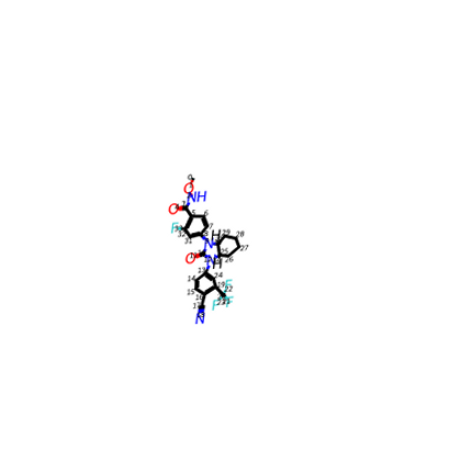 CONC(=O)c1ccc(N2C(=O)N(c3ccc(C#N)c(C(F)(F)F)c3)[C@H]3CCCC[C@@H]32)cc1F